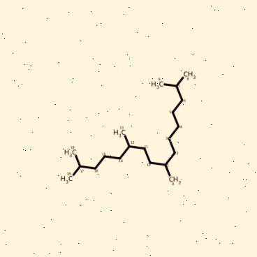 [CH2]C(CCCCCC(C)C)CCC(C)CCCC(C)C